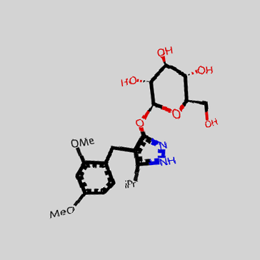 COc1ccc(Cc2c(O[C@@H]3O[C@H](CO)[C@@H](O)[C@H](O)[C@H]3O)n[nH]c2C(C)C)c(OC)c1